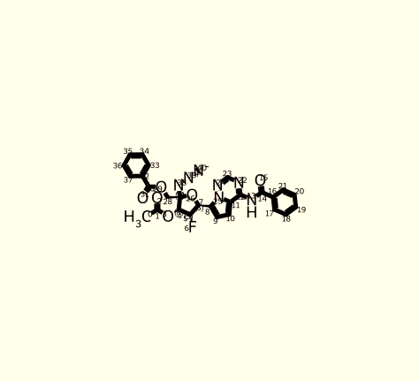 CC(=O)O[C@H]1[C@@H](F)[C@H](c2ccc3c(NC(=O)c4ccccc4)ncnn23)O[C@@]1(COC(=O)c1ccccc1)N=[N+]=[N-]